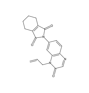 C=CCn1c(=O)cnc2ccc(N3C(=O)C4=C(CCCC4)C3=O)cc21